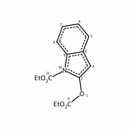 CCOC(=O)Oc1cc2ccccc2n1C(=O)OCC